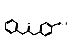 CCCCCc1ccc(CC(=O)Cc2ccccc2)cc1